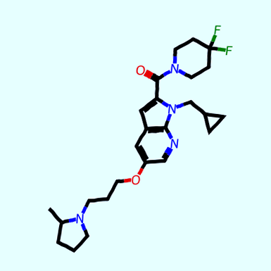 CC1CCCN1CCCOc1cnc2c(c1)cc(C(=O)N1CCC(F)(F)CC1)n2CC1CC1